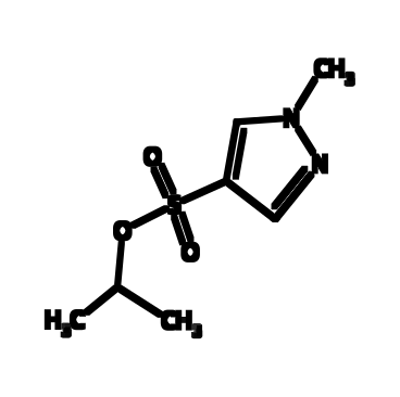 CC(C)OS(=O)(=O)c1cnn(C)c1